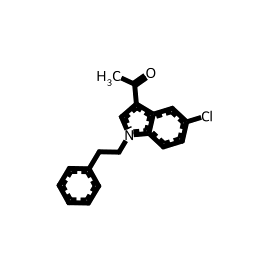 CC(=O)c1cn(CCc2ccccc2)c2ccc(Cl)cc12